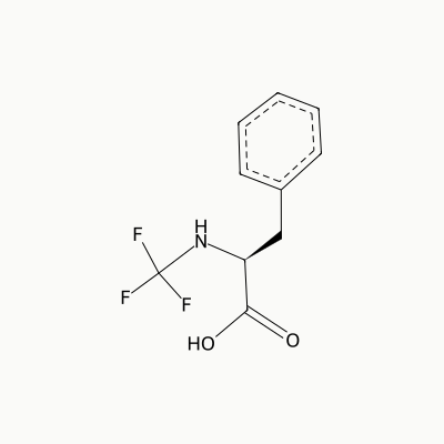 O=C(O)[C@H](Cc1ccccc1)NC(F)(F)F